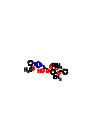 COc1ccccc1N1CCN(CC(O)COc2cc(C)c(OCc3ccccc3)c(OC)c2OC)CC1